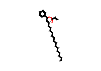 C=CC(=O)OC(C=CCCCCCCCCCCCCCCC)c1ccccc1